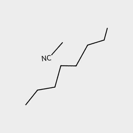 CC#N.CCCCCCCC